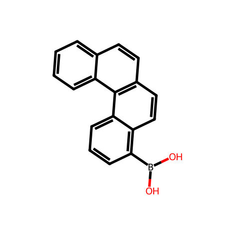 OB(O)c1cccc2c1ccc1ccc3ccccc3c12